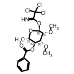 CO[C@@H]1[C@@H](OC(=O)c2ccccc2)[C@H](C)O[C@@H](OC(=N)C(Cl)(Cl)Cl)[C@@H]1OC